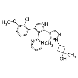 COc1cccc(-c2c[nH]c(-c3cnn(C4CC(C)(O)C4)c3C)c2-c2ncccn2)c1Cl